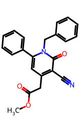 COC(=O)Cc1cc(-c2ccccc2)n(Cc2ccccc2)c(=O)c1C#N